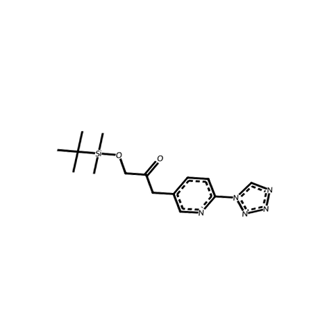 CC(C)(C)[Si](C)(C)OCC(=O)Cc1ccc(-n2cnnn2)nc1